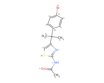 CC(=O)Nc1nc(C(C)(C)c2ccc(Br)cc2)cs1